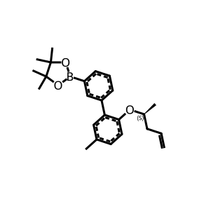 C=CC[C@H](C)Oc1ccc(C)cc1-c1cccc(B2OC(C)(C)C(C)(C)O2)c1